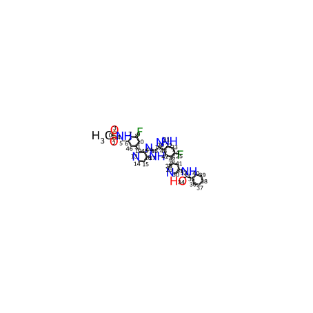 CS(=O)(=O)NCc1cc(F)cc(-c2nccc3[nH]c(-c4n[nH]c5cc(F)c(-c6cncc(NC(O)c7ccccc7)c6)cc45)nc23)c1